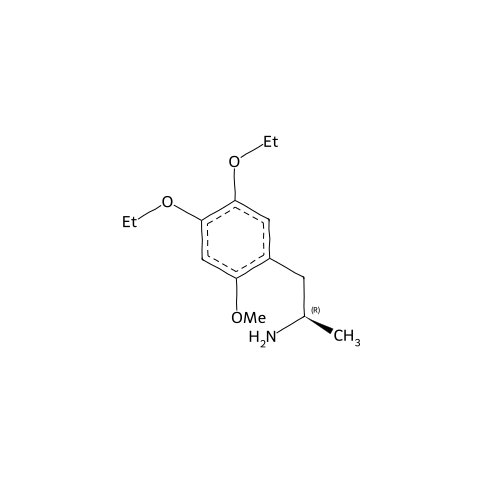 CCOc1cc(C[C@@H](C)N)c(OC)cc1OCC